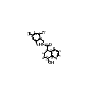 Cc1cc(Cl)cc(Cl)c1CNC(=O)C1CC[C@H](O)c2ncccc21